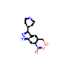 O=[N+]([O-])c1cc2[nH]nc(-c3ccncc3)c2cc1CO